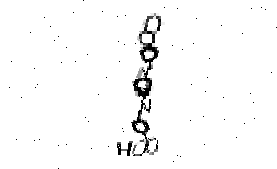 O=COc1ccc(C=Nc2ccc(N=Cc3ccc(C(=O)O)cc3)cc2)cc1